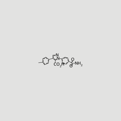 Cc1ccc(-c2cnn(-c3ccc(S(N)(=O)=O)cc3)c2C(=O)O)cc1